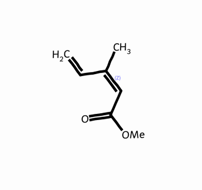 C=C/C(C)=C\C(=O)OC